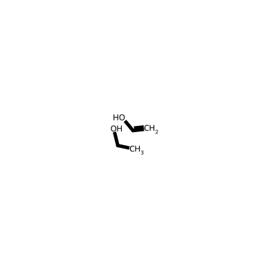 C=CO.CCO